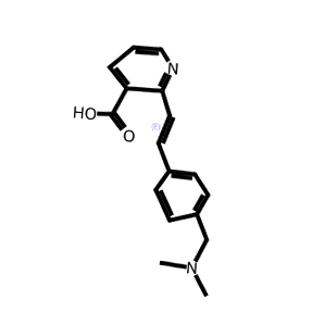 CN(C)Cc1ccc(/C=C/c2ncccc2C(=O)O)cc1